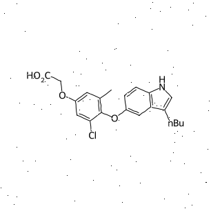 CCCCc1c[nH]c2ccc(Oc3c(C)cc(OCC(=O)O)cc3Cl)cc12